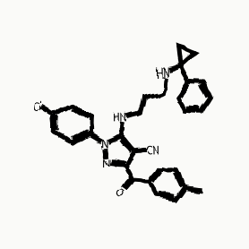 Cc1ccc(C(=O)c2nn(-c3ccc(Cl)cc3)c(NCCCNC3(c4ccccc4)CC3)c2C#N)cc1